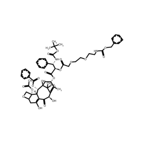 CC(=O)O[C@@]12COC1CC(O)=C1C(=O)[C@H](O)C3=C(C)[C@@H](OC(=O)[C@H](OC(=O)COCCOCCNC(=O)OCc4ccccc4)[C@@H](NC(=O)OC(C)(C)C)c4ccccc4)C[C@@](O)([C@@H](OC(=O)c4ccccc4)[C@@H]12)C3(C)C